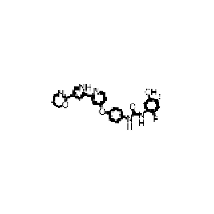 Cc1ccc(F)c(NC(=O)Nc2ccc(Oc3ccnc(-c4cc(C5=NCCCO5)c[nH]4)c3)cc2)c1